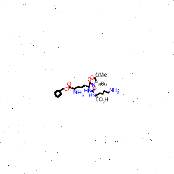 CC[C@H](C)[C@H](NC(=O)C(CCC[C@@H](N)C(=O)OCc1ccccc1)NC(=O)N[C@@H](CCCCN)C(=O)O)C(=O)OC